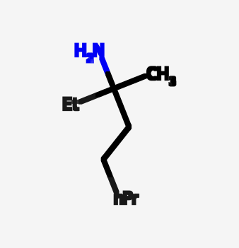 CCCCCC(C)(N)CC